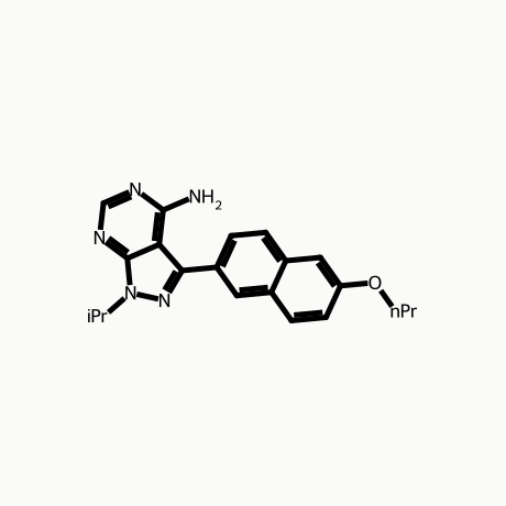 CCCOc1ccc2cc(-c3nn(C(C)C)c4ncnc(N)c34)ccc2c1